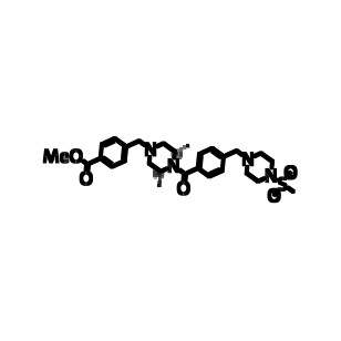 COC(=O)c1ccc(CN2C[C@@H](C)N(C(=O)c3ccc(CN4CCN(S(C)(=O)=O)CC4)cc3)[C@@H](C)C2)cc1